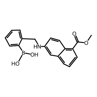 COC(=O)c1cccc2cc(NCc3ccccc3B(O)O)ccc12